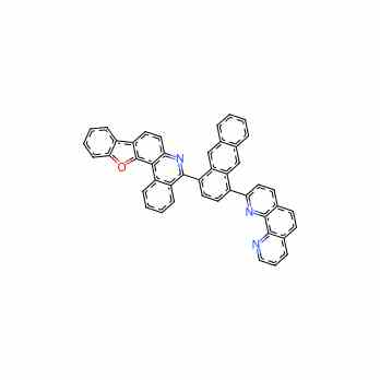 c1ccc2cc3c(-c4nc5ccc6c7ccccc7oc6c5c5ccccc45)ccc(-c4ccc5ccc6cccnc6c5n4)c3cc2c1